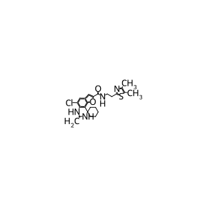 C=C1Nc2c(Cl)cc3cc(C(=O)NCCc4nc(C)c(C)s4)oc3c2C2(CCCCC2)N1